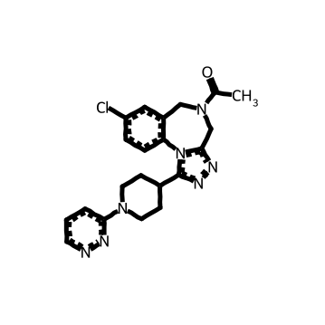 CC(=O)N1Cc2cc(Cl)ccc2-n2c(nnc2C2CCN(c3cccnn3)CC2)C1